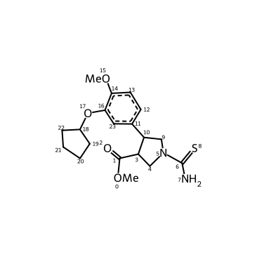 COC(=O)C1CN(C(N)=S)CC1c1ccc(OC)c(OC2CCCC2)c1